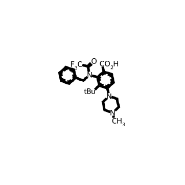 CN1CCN(c2ccc(C(=O)O)c(N(Cc3ccccc3)C(=O)C(F)(F)F)c2C(C)(C)C)CC1